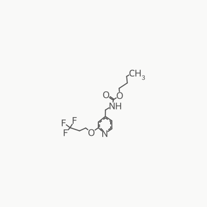 CCCCOC(=O)NCc1ccnc(OCCC(F)(F)F)c1